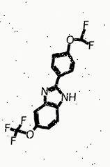 FC(F)Oc1ccc(-c2nc3cc(OC(F)(F)F)ccc3[nH]2)cc1